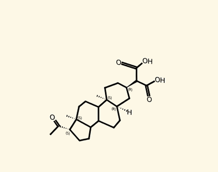 CC(=O)[C@H]1CCC2C3CC[C@@H]4C[C@H](C(C(=O)O)C(=O)O)CC[C@]4(C)C3CC[C@@]21C